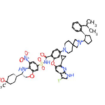 CC(C)c1ccccc1[C@H]1CCCC1N1CC2(CCN(c3ccc(C(=O)NS(=O)(=O)c4cc5c(c([N+](=O)[O-])c4)N[C@@H]([C@H]4CC[C@](C)(O)CC4)CO5)c(Oc4cc5c(F)c[nH]c5nc4C4CC4)c3)CC2)C1